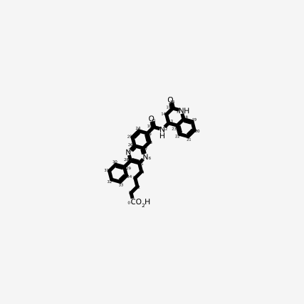 O=C(O)CCCCc1nc2cc(C(=O)NC3CC(=O)Nc4ccccc43)ccc2nc1C1=CCCC=C1